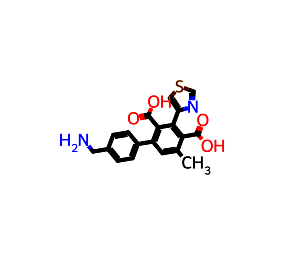 Cc1cc(-c2ccc(CN)cc2)c(C(=O)O)c(-c2cscn2)c1C(=O)O